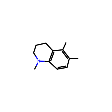 Cc1ccc2c(c1C)CCCN2C